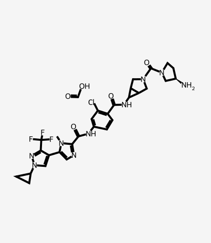 Cn1c(-c2cn(C3CC3)nc2C(F)(F)F)cnc1C(=O)Nc1ccc(C(=O)NC2C3CN(C(=O)N4CC[C@@H](N)C4)CC32)c(Cl)c1.O=CO